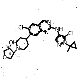 CC1(n2ncc(Nc3ncc4cc(Cl)c(C5CCN([C@@]6(C)COC[C@H]6O)CC5)cc4n3)c2Cl)CC1